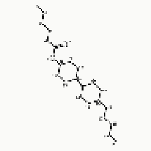 CCCCCC(=O)OC1CCC(C2CCC(CCCCC)CC2)CC1